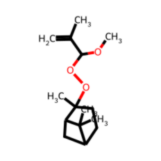 C=C(C)C(OC)OOC1(C)CCC2CC1C2(C)C